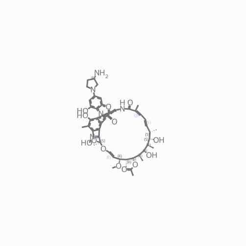 CO[C@H]1/C=C/O[C@@]2(C)Oc3c(C)c(O)c4c(=O)c(c5oc6cc(N7CC[C@@H](N)C7)cc(O)c6nc-5c4c3/C2=N/O)NC(=O)/C(C)=C\C=C\[C@H](C)[C@H](O)[C@@H](C)[C@@H](O)[C@@H](C)[C@H](OC(C)=O)[C@@H]1C